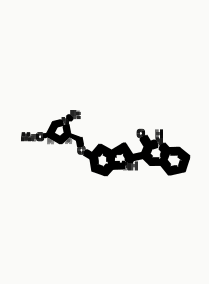 CCN1C[C@H](OC)C[C@@H]1COc1ccc2[nH]c(-c3cc4ccccc4[nH]c3=O)cc2c1